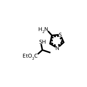 CCOC(=O)C(C)S.Nc1cncs1